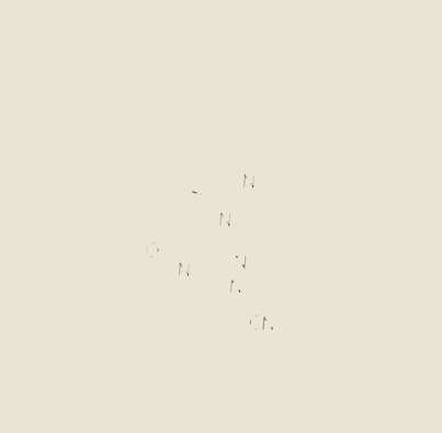 C[C@@H]1CN(c2cc(=O)n(C)c3cn(CC#N)nc23)[C@@H](C)CN1C1CCCCc2ccccc21